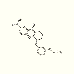 CCOc1cccc(C=C2CCCc3c2oc2ccc(C(=O)O)cc2c3=O)c1